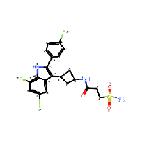 NS(=O)(=O)CCC(=O)N[C@H]1C[C@@H](c2c(-c3ccc(F)cc3)[nH]c3c(F)cc(F)cc32)C1